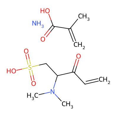 C=C(C)C(=O)O.C=CC(=O)C(CS(=O)(=O)O)N(C)C.N